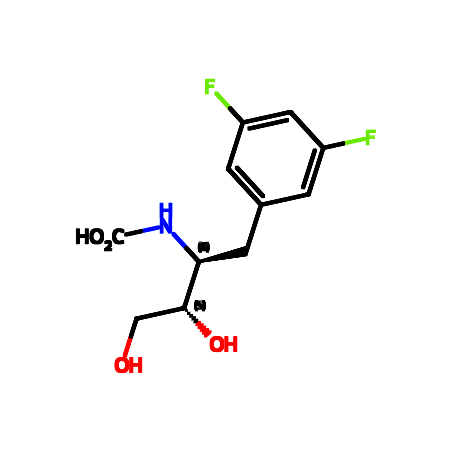 O=C(O)N[C@@H](Cc1cc(F)cc(F)c1)[C@H](O)CO